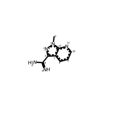 Cn1nc(C(=N)N)c2cccnc21